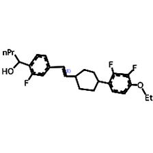 CCCC(O)c1ccc(/C=C/C2CCC(c3ccc(OCC)c(F)c3F)CC2)cc1F